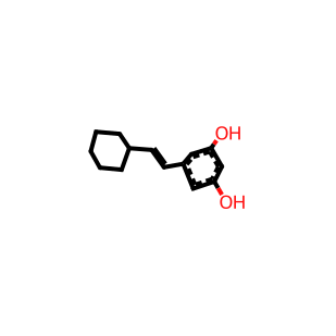 Oc1cc(O)cc(C=CC2CCCCC2)c1